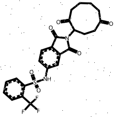 O=C1CCCCC(=O)C(N2C(=O)c3ccc(NS(=O)(=O)c4ccccc4C(F)(F)F)cc3C2=O)CC1